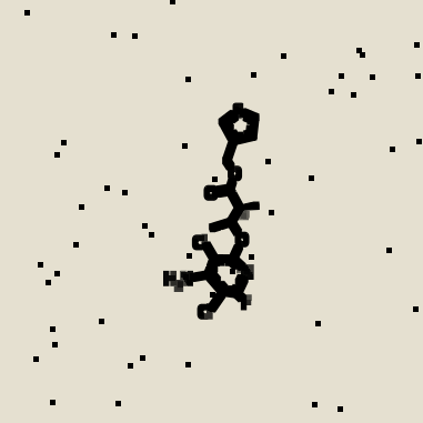 CC(Oc1nc(F)c(Cl)c(N)c1Cl)[C@H](C)C(=O)OCc1ccsc1